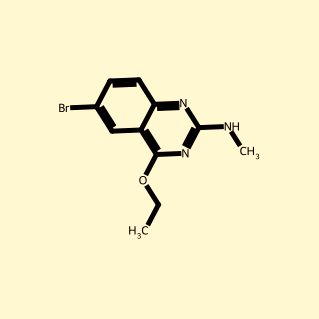 CCOc1nc(NC)nc2ccc(Br)cc12